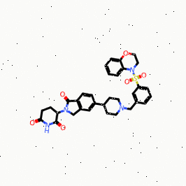 O=C1CCC(N2Cc3cc(C4CCN(Cc5cccc(S(=O)(=O)N6CCOc7ccccc76)c5)CC4)ccc3C2=O)C(=O)N1